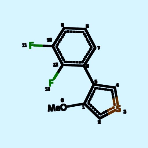 COc1cscc1-c1cccc(F)c1F